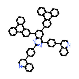 c1ccc2c(-c3ccc(-c4nc(-c5ccc(-c6ccnc7ccccc67)cc5)c5cc(-c6ccc7c8ccccc8c8ccccc8c7c6)cc(-c6ccc7c8ccccc8c8ccccc8c7c6)c5n4)cc3)ccnc2c1